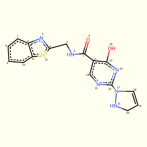 O=C(NCc1nc2ccccc2s1)c1cnc(N2C=CCN2)nc1O